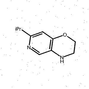 CC(C)c1cc2c(cn1)NCCO2